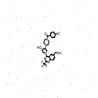 O=C(c1ccc(Cl)cc1)N1CCN([C@H]2CN(c3nc(C(F)(F)F)nc4ccc(CO)cc34)C[C@@H]2O)CC1